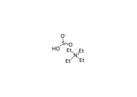 CC[N+](CC)(CC)CC.O=S([O-])O